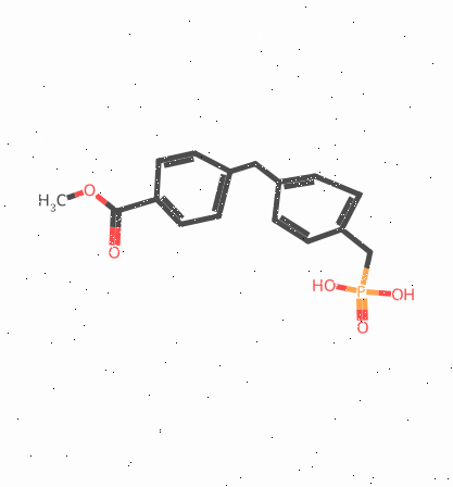 COC(=O)c1ccc(Cc2ccc(CP(=O)(O)O)cc2)cc1